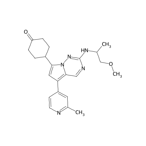 COCC(C)Nc1ncc2c(-c3ccnc(C)c3)cc(C3CCC(=O)CC3)n2n1